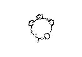 O=C1CN2CCN(CC2)Cc2cccc(c2)Nc2nccc(n2)-c2ccnc(c2)CCCN1